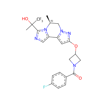 C[C@H]1Cn2nc(OC3CN(C(=O)c4ccc(F)cc4)C3)cc2-c2cnc(C(C)(O)C(F)(F)F)n21